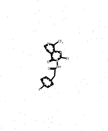 CCc1nc2c(C(F)(F)F)nccc2c(=O)n1NC(=O)Cc1ccc(F)cc1